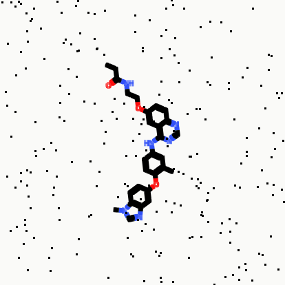 CCC(=O)NCCOc1ccc2ncnc(Nc3ccc(Oc4ccc5c(c4)ncn5C)c(C)c3)c2c1